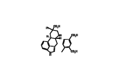 CC(C)C1(C(=O)O)CN[C@@H]2Cc3c[nH]c4cccc(c34)[C@H]2C1.Cc1ccc(C(=O)O)cc1C(=O)O